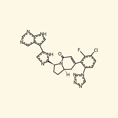 O=C1C=C(c2c(-n3cnnn3)ccc(Cl)c2F)C[C@H]2CC[C@@H](c3ncc(-c4c[nH]c5ncncc45)[nH]3)N12